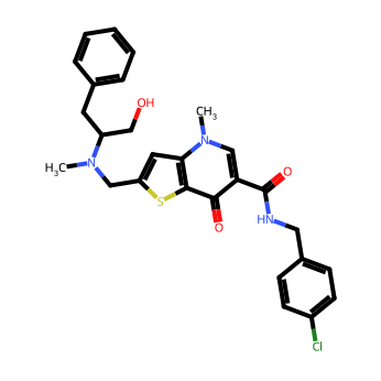 CN(Cc1cc2c(s1)c(=O)c(C(=O)NCc1ccc(Cl)cc1)cn2C)C(CO)Cc1ccccc1